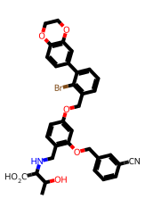 CC(O)C(NCc1ccc(OCc2cccc(-c3ccc4c(c3)OCCO4)c2Br)cc1OCc1cccc(C#N)c1)C(=O)O